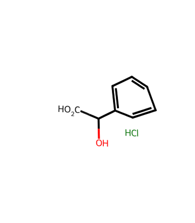 Cl.O=C(O)C(O)c1ccccc1